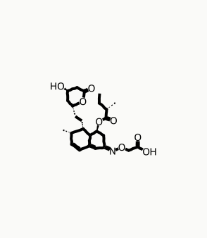 CC[C@H](C)C(=O)O[C@H]1C/C(=N\OCC(=O)O)C=C2C=C[C@H](C)[C@H](CC[C@@H]3C[C@@H](O)CC(=O)O3)C21